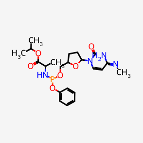 C/N=C(N)\C=C/N(C=O)C1CCC(COP(NC(C)C(=O)OC(C)C)Oc2ccccc2)O1